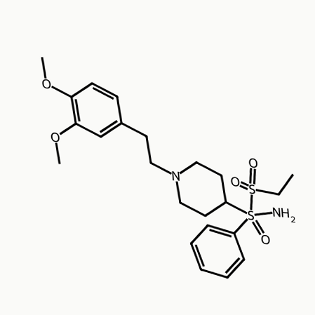 CCS(=O)(=O)S(N)(=O)(c1ccccc1)C1CCN(CCc2ccc(OC)c(OC)c2)CC1